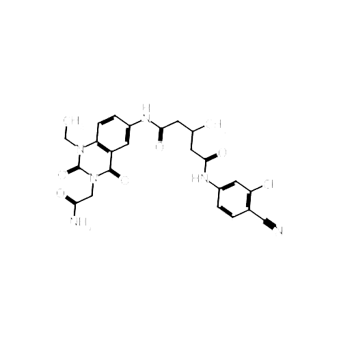 CCn1c(=O)n(CC(N)=O)c(=O)c2cc(NC(=O)CC(C)CC(=O)Nc3ccc(C#N)c(Cl)c3)ccc21